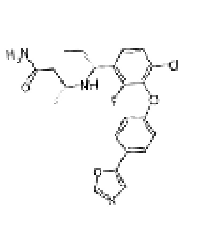 CC[C@@H](N[C@H](C)CC(N)=O)c1ccc(Cl)c(Oc2ccc(-c3cnco3)cc2)c1F